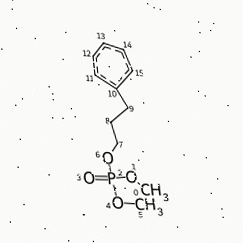 COP(=O)(OC)OCCCc1ccccc1